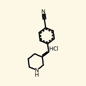 Cl.N#Cc1ccc(C=C2CCCNC2)cc1